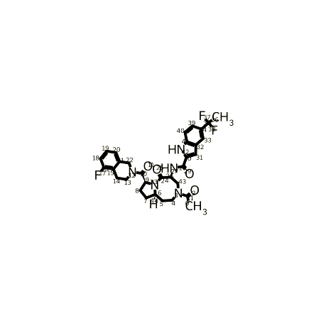 CC(=O)N1CC[C@H]2CC[C@@H](C(=O)N3CCc4c(F)cccc4C3)N2C(=O)[C@@H](NC(=O)c2cc3cc(C(C)(F)F)ccc3[nH]2)C1